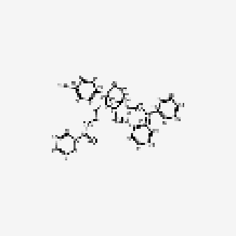 CC(C)(C)[C@H]1[C@H](CCOC(=O)c2ccccc2)[C@]2(c3ccc(F)cc3)CO[C@@]1(CO[SiH](c1ccccc1)c1ccccc1)C2